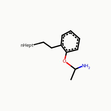 CCCCCCCCCc1ccccc1OC(C)N